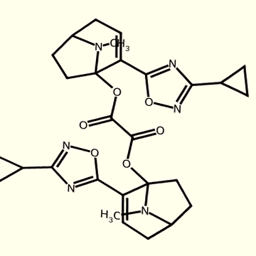 CN1C2CC=C(c3nc(C4CC4)no3)C1(OC(=O)C(=O)OC13CCC(CC=C1c1nc(C4CC4)no1)N3C)CC2